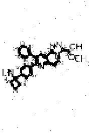 COC(O)c1nnc2c3cc(-c4ccccc4)c(-c4ccc(C5(N)CCC5)cc4)nc3ccn12